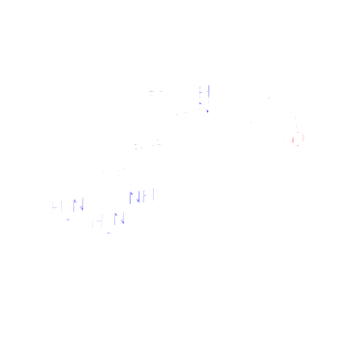 N/C=C(\NN)c1cccc(NCc2ccoc2)c1